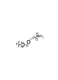 NNC(=O)OCCc1ccc(Oc2cnc(C(F)(F)F)nc2)cc1